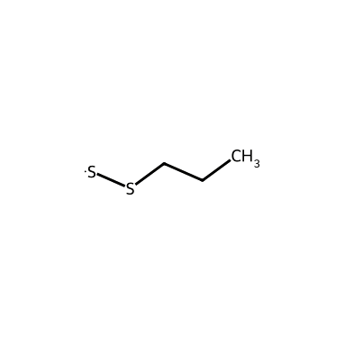 CCCS[S]